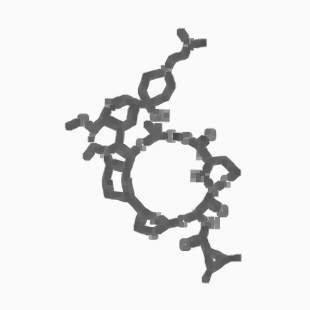 CCn1c(-c2cc(C3(O)CCN(CCN(C)C)CC3)cnc2[C@H](C)OC)c2c3cc(ccc31)-c1csc(n1)C[C@H](NC(=O)C1[C@@H](C)[C@H]1C)C(=O)N1CCC[C@H](N1)C(=O)OCC(C)(C)C2